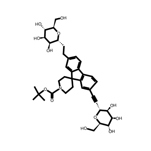 CC(C)(C)OC(=O)N1CCC2(CC1)c1cc(C#C[C@H]3O[C@H](CO)[C@@H](O)[C@H](O)[C@@H]3O)ccc1-c1ccc(CC[C@H]3O[C@H](CO)[C@@H](O)[C@H](O)[C@@H]3O)cc12